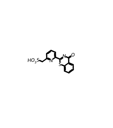 O=c1nc(-c2cccc(CS(=O)(=O)O)n2)sc2ccccc12